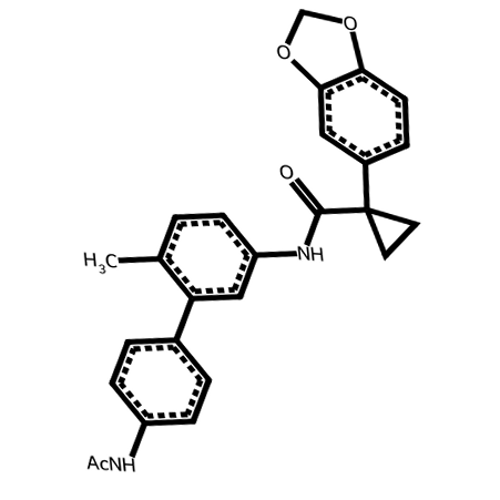 CC(=O)Nc1ccc(-c2cc(NC(=O)C3(c4ccc5c(c4)OCO5)CC3)ccc2C)cc1